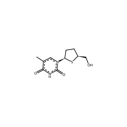 Cc1cn([C@H]2CC[C@@H](CO)S2)c(=O)[nH]c1=O